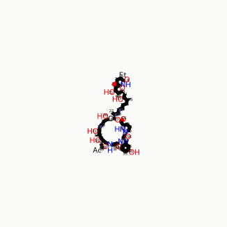 CC[C@H]1C[C@H](C)[C@@]2(NC1=O)O[C@@H](C[C@H](O)[C@@H](C)CC/C=C/C=C(\C)[C@@H]1CC(O)C/C=C/[C@H](O)[C@H](C)[C@@H](O)[C@@H](CCC(C)=O)C(=O)N[C@@H](C(C)C)C(=O)N[C@@H](Cc3cccc(O)c3)C(=O)N3CCCC(N3)C(=O)O1)[C@H](C)[C@H](O)[C@@H]2C